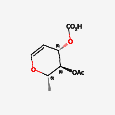 CC(=O)O[C@H]1[C@H](C)OC=C[C@@H]1OC(=O)O